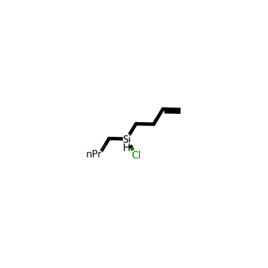 C=CCC[SiH](Cl)CCCC